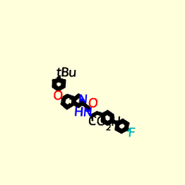 CC(C)(C)c1ccc(Oc2ccc3cc(C(=O)N[C@@H](Cc4ccc(-c5ccc(F)cc5)cc4)C(=O)O)ncc3c2)cc1